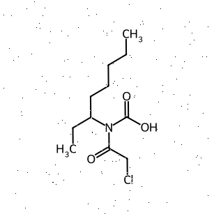 CCCCCC(CC)N(C(=O)O)C(=O)CCl